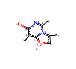 Cc1c(=O)nc(C)n2c(C)coc12